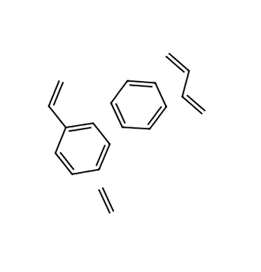 C=C.C=CC=C.C=Cc1ccccc1.c1ccccc1